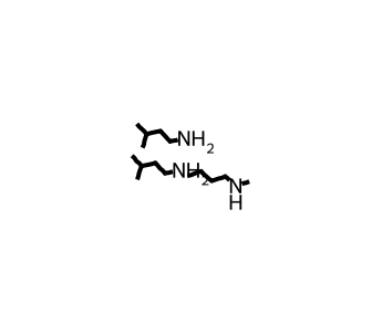 CC(C)CCN.CC(C)CCN.CCCCNC